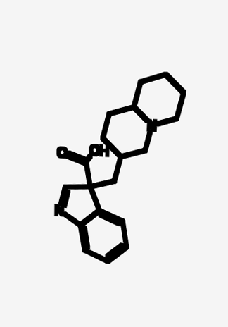 O=C(O)C1(CC2CCC3CCCCN3C2)C=Nc2ccccc21